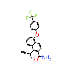 C#CC(C)c1c(C(N)=O)ccc2c(Oc3ccc(C(F)(F)F)cc3)cccc12